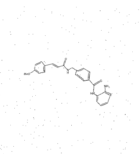 COc1ccc(C=CC(=O)NCc2ccc(C(=O)Nc3cccnc3N)cc2)cc1